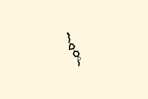 C=CCCC[C@H]1CC[C@H](C2CCC(OCCC)CC2)CC1